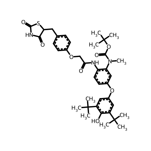 CN(C(=O)OC(C)(C)C)c1cc(Oc2cc(C(C)(C)C)c(O)c(C(C)(C)C)c2)ccc1NC(=O)COc1ccc(CC2SC(=O)NC2=O)cc1